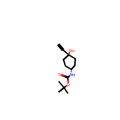 C#C[C@]1(O)CC[C@H](NC(=O)OC(C)(C)C)CC1